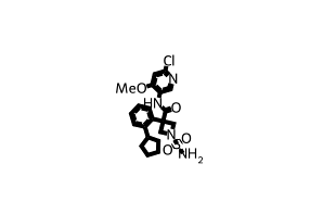 COc1cc(Cl)ncc1NC(=O)C1(c2ccccc2C2CCCC2)CN(S(N)(=O)=O)C1